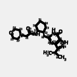 CC(C)c1n[nH]c2c(=O)[nH]c(C[C@@H]3CCCC[C@H]3NC(=O)CN3CCOCC3)nc12